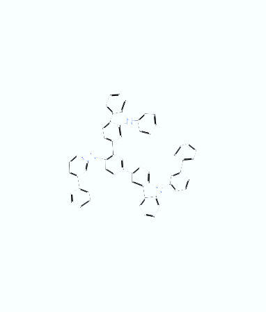 c1ccc(-c2cccc(Nc3ccc(-c4ccc5c(c4)c4ccccc4n5-c4cccc(-c5ccccc5)c4)cc3-c3ccc4c5ccccc5n(-c5ccccc5)c4c3)c2)cc1